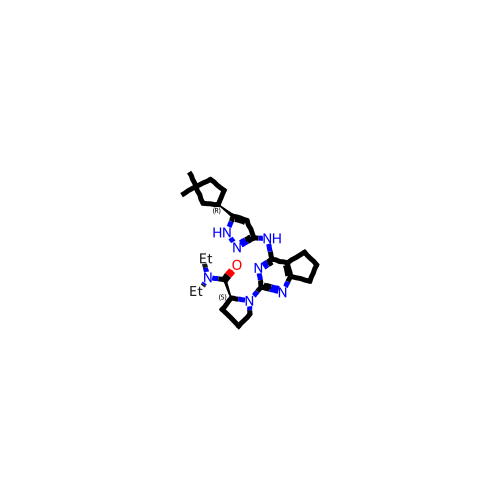 CCN(CC)C(=O)[C@@H]1CCCN1c1nc2c(c(Nc3cc([C@@H]4CCC(C)(C)C4)[nH]n3)n1)CCC2